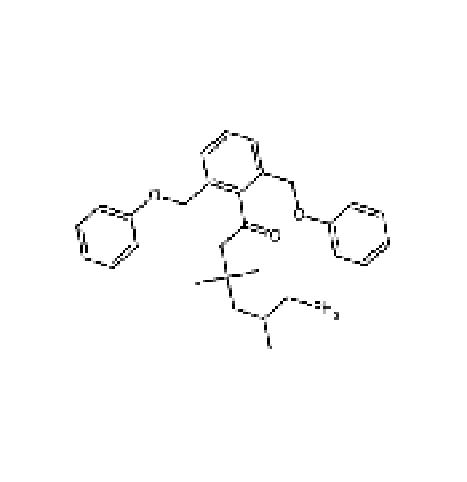 CC(CP)CC(C)(C)CC(=O)c1c(COc2ccccc2)cccc1COc1ccccc1